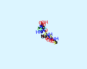 O=C(Cc1cccs1)NC1C(=O)N2C(C(=O)O)=C(CNC(=S)SCC(=O)N(c3c(F)cc4c(=O)c(C(=O)O)cn(C5CC5)c4c3Cl)C3CCNC3)CSC12.[Na].[Na]